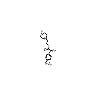 O=C(OCCN1CCNCC1)C(Br)c1ccc([N+](=O)[O-])cc1